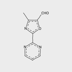 Cc1nc(-c2ncccn2)oc1C=O